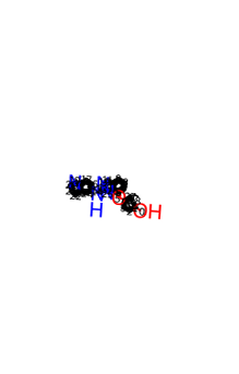 O[C@H]1CC[C@@H](Oc2cccc3cnc(Nc4ccc5ncccc5c4)nc23)CC1